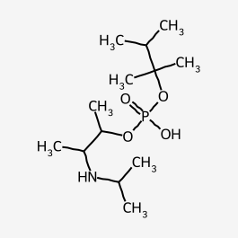 CC(C)NC(C)C(C)OP(=O)(O)OC(C)(C)C(C)C